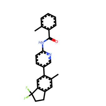 Cc1ccccc1C(=O)Nc1ccc(-c2cc3c(cc2C)CCC3(F)F)cn1